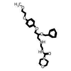 COCCOc1ccc(OCC(CNCCNC(=O)N2CCOCC2)OCc2ccccc2)cc1